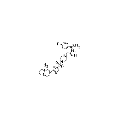 C[C@H](c1ccc(F)cc1)n1cncc1CN1CCN(S(=O)(=O)c2cnc(N3CCN4CCCC4(C)C3)s2)CC1